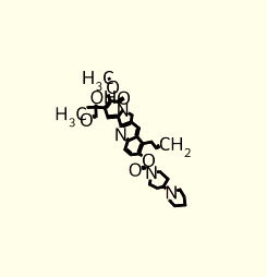 C=CCc1c(OC(=O)N2CCC(N3CCCCC3)CC2)ccc2nc3c(cc12)Cn1c-3cc(C(O)(C=O)CC)c(COC)c1=O